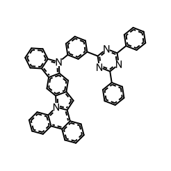 c1ccc(-c2nc(-c3ccccc3)nc(-c3cccc(-n4c5ccccc5c5cc6c(cc54)cc4c5ccccc5c5ccccc5n64)c3)n2)cc1